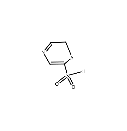 O=S(=O)(Cl)C1=CN=CCS1